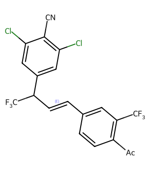 CC(=O)c1ccc(/C=C/C(c2cc(Cl)c(C#N)c(Cl)c2)C(F)(F)F)cc1C(F)(F)F